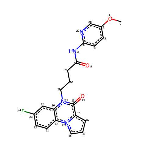 COc1ccc(NC(=O)CCCn2c(=O)c3cccn3c3ccc(F)cc32)nc1